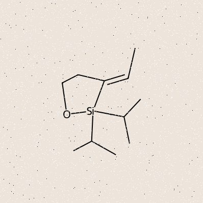 C/C=C1\CCO[Si]1(C(C)C)C(C)C